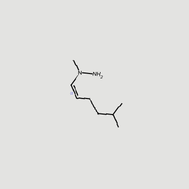 CC(C)CC/C=C\N(C)N